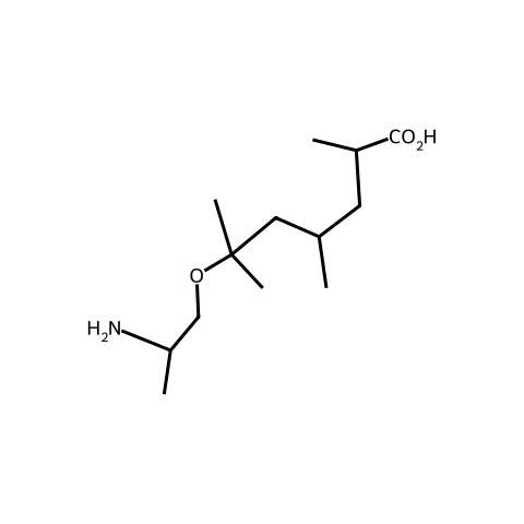 CC(N)COC(C)(C)CC(C)CC(C)C(=O)O